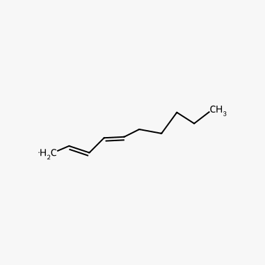 [CH2]C=CC=CCCCCC